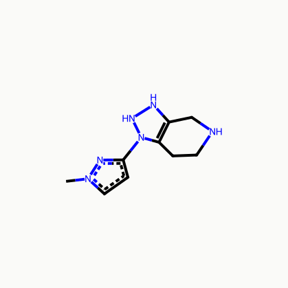 Cn1ccc(N2NNC3=C2CCNC3)n1